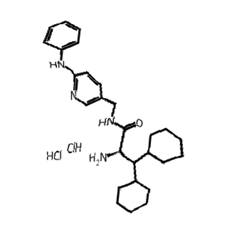 Cl.Cl.N[C@@H](C(=O)NCc1ccc(Nc2ccccc2)nc1)C(C1CCCCC1)C1CCCCC1